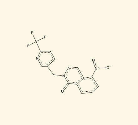 O=c1c2cccc([N+](=O)[O-])c2ccn1Cc1ccc(C(F)(F)F)nc1